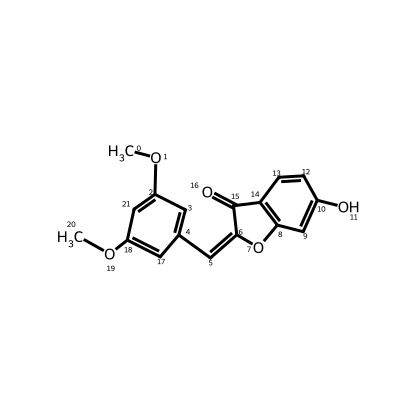 COc1cc(C=C2Oc3cc(O)ccc3C2=O)cc(OC)c1